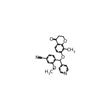 COc1cc(C#N)ccc1C(Oc1ccc2c(c1C)OCCC2=O)c1ccncc1